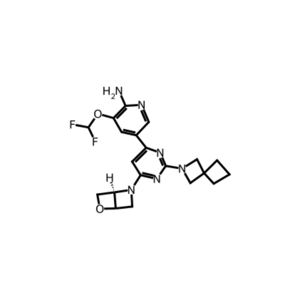 Nc1ncc(-c2cc(N3CC4OC[C@H]43)nc(N3CC4(CCC4)C3)n2)cc1OC(F)F